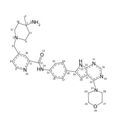 CC1(N)CCN(Cc2ccnc(C(=O)Nc3ccc(-c4cc5c(N6CCOCC6)ncnc5[nH]4)cc3)c2)CC1